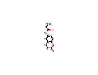 C=CC(=O)Oc1ccc2c(c1)CCC(=O)O2